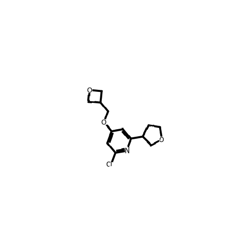 Clc1cc(OCC2COC2)cc(C2CCOC2)n1